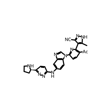 CC(=O)c1ccc(-n2cnc3cc(Nc4ccc([C@H]5CCCN5)nn4)ccc32)nc1-c1c(C#N)n[nH]c1C